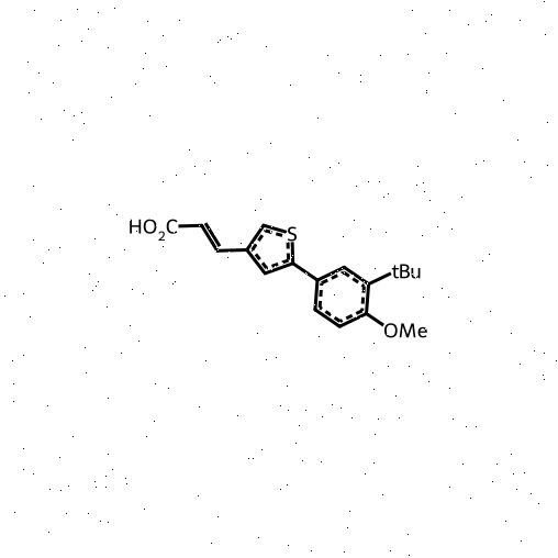 COc1ccc(-c2cc(C=CC(=O)O)cs2)cc1C(C)(C)C